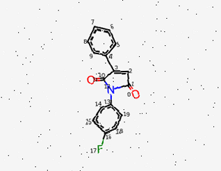 O=C1C=C(c2ccccc2)C(=O)N1c1ccc(F)cc1